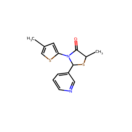 Cc1csc(N2C(=O)C(C)SC2c2cccnc2)c1